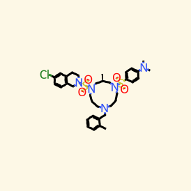 Cc1ccccc1CN1CCCN(S(=O)(=O)c2ccc(N(C)C)cc2)C[C@H](C)CN(S(=O)(=O)N2CCc3cc(Cl)ccc3C2)CCC1